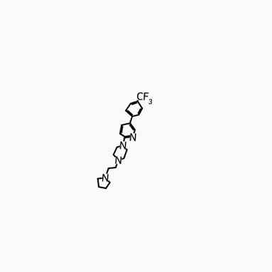 FC(F)(F)c1ccc(-c2ccc(N3CCN(CCN4CCCC4)CC3)nc2)cc1